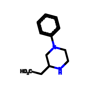 O=C(O)CC1CN(c2ccccc2)CCN1